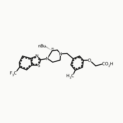 CCCC[C@@H]1CN(Cc2cc(C)cc(OCC(=O)O)c2)CCN1c1nc2ccc(C(F)(F)F)cc2s1